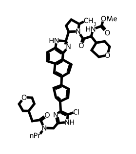 CCCN(Cc1nc(-c2ccc(-c3ccc4c(ccc5[nH]c(C6CCC(C)N6C(=O)C(NC(=O)OC)C6CCOCC6)nc54)c3)cc2)c(Cl)[nH]1)C(=O)CC1CCOCC1